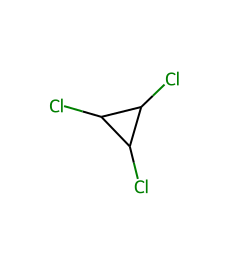 ClC1C(Cl)C1Cl